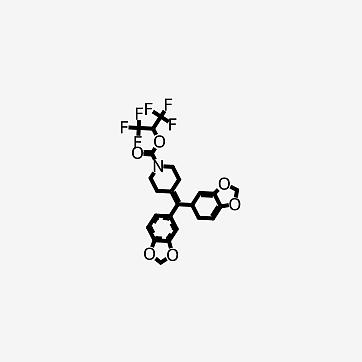 O=C(OC(C(F)(F)F)C(F)(F)F)N1CCC(=C(c2ccc3c(c2)OCO3)C2C=C3OCOC3=CC2)CC1